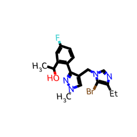 CCc1ncn(Cc2cn(C)nc2-c2ccc(F)cc2C(C)O)c1Br